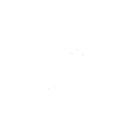 Cc1nn(-c2ccc(C(F)(F)F)cc2)nc1CSc1ccc2cnn(CC(=O)O)c2c1